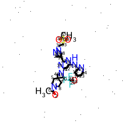 CC(=O)N1CCC2(CC1)CN(c1cc(Nc3cc(OC(F)(F)F)ccn3)nc(-c3cnn(CCS(C)(=O)=O)c3)n1)C2